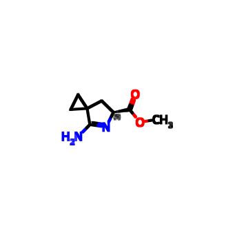 COC(=O)[C@@H]1CC2(CC2)C(N)=N1